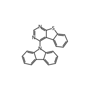 c1ccc2c(c1)sc1ncnc(-n3c4ccccc4c4ccccc43)c12